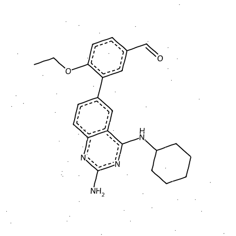 CCOc1ccc(C=O)cc1-c1ccc2nc(N)nc(NC3CCCCC3)c2c1